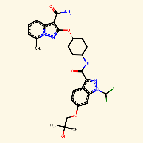 Cc1cccc2c(C(N)=O)c(O[C@H]3CC[C@H](NC(=O)c4nn(C(F)F)c5cc(OCC(C)(C)O)ccc45)CC3)nn12